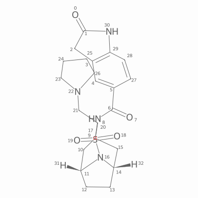 O=C1Cc2cc(C(=O)NC3C[C@H]4CC[C@@H](C3)N4S(=O)(=O)CCN3CCCC3)ccc2N1